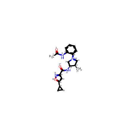 CC(=O)Nc1ccccc1N1C[C@@H](C)[C@@H](NC(=O)c2cc(C3CC3)on2)C1